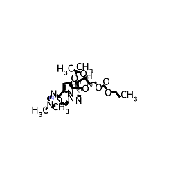 CCCOC(=O)OC[C@H]1O[C@@](C#N)(c2ccc3c(/N=C\N(C)C)ncnn23)[C@@H]2OC(C)(C)O[C@@H]21